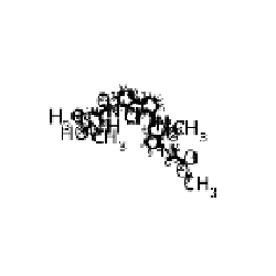 CCOC(=O)C1CN(C2CCc3cc(-c4cccc(-c5cccc(NC(=O)C6=CN(C)C(O)N(C)C6)c5Cl)c4Cl)nc(OC)c32)C1